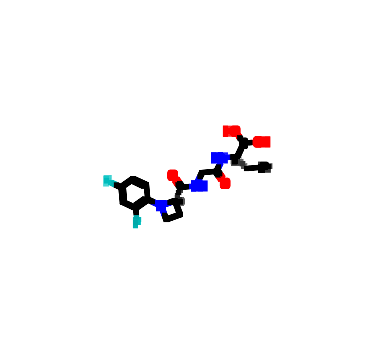 CC(C)C[C@H](NC(=O)CNC(=O)[C@@H]1CCN1c1ccc(F)cc1F)B(O)O